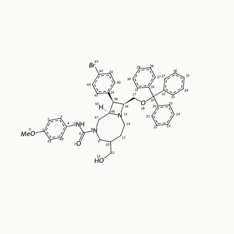 COc1ccc(NC(=O)N2CC(CO)CCN3[C@H](COC(c4ccccc4)(c4ccccc4)c4ccccc4)[C@H](c4ccc(Br)cc4)[C@@H]3C2)cc1